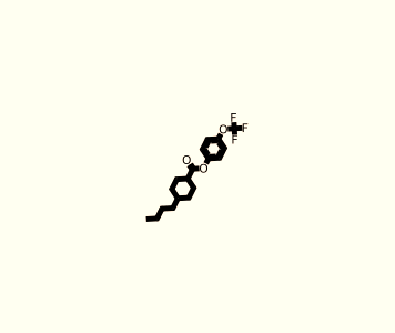 CCCCC1CCC(C(=O)Oc2ccc(OC(F)(F)F)cc2)CC1